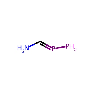 N/C=P/P